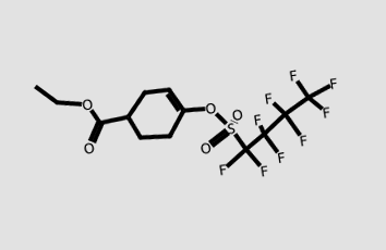 CCOC(=O)C1CC=C(OS(=O)(=O)C(F)(F)C(F)(F)C(F)(F)C(F)(F)F)CC1